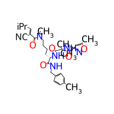 Cc1ccc(CNC(=O)[C@H](CCCCN(C)C(=O)C(C#N)=CC(C)C)NC(=O)C(C)(C)NC(=O)c2cc(C)on2)cc1